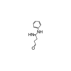 N=C(CCC=O)Nc1ccccc1